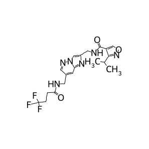 CC(C)c1nocc1C(=O)NCc1cn2ncc(CNC(=O)CCC(F)(F)F)cc2n1